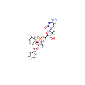 C[C@H](NP(=O)(OC[C@H]1O[C@@H](n2ccc(N)nc2=O)C(F)(F)[C@@H]1O)Oc1ccccc1)C(=O)OCc1ccccc1